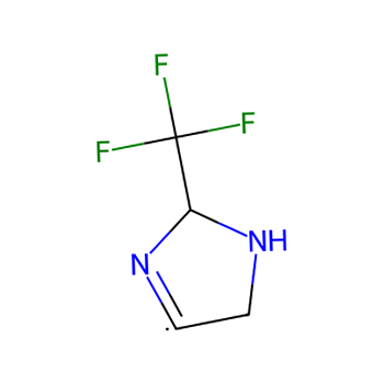 FC(F)(F)C1N=[C]CN1